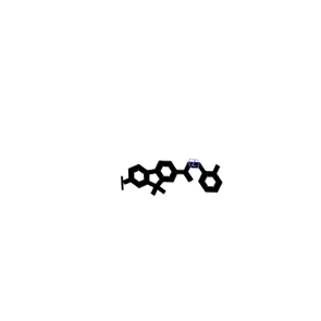 C=C(/C=C\c1ccccc1C)c1ccc2c(c1)C(C)(C)c1cc(I)ccc1-2